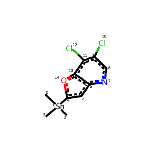 [CH3][Sn]([CH3])([CH3])[c]1cc2ncc(Cl)c(Cl)c2o1